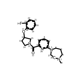 CN1CCCN(c2cccc(C(=O)N3CCC(Oc4ccccc4F)C3)n2)CC1